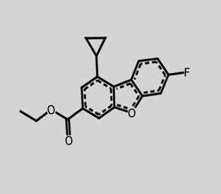 CCOC(=O)c1cc(C2CC2)c2c(c1)oc1cc(F)ccc12